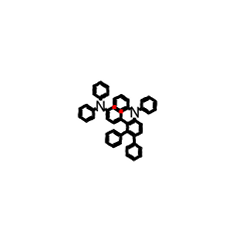 c1ccc(-c2ccc(N(c3ccccc3)c3ccccc3)c(-c3ccc(N(c4ccccc4)c4ccccc4)cc3)c2-c2ccccc2)cc1